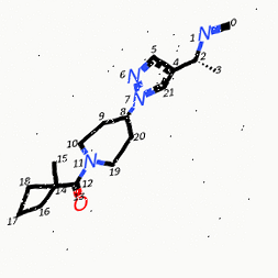 C=N[C@H](C)c1cnn(C2CCN(C(=O)C3(C)CCC3)CC2)c1